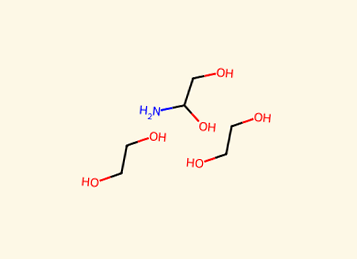 NC(O)CO.OCCO.OCCO